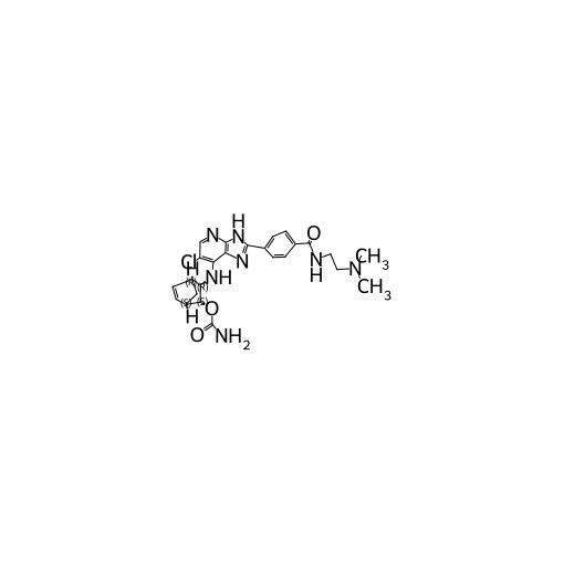 CN(C)CCNC(=O)c1ccc(-c2nc3c(N[C@H]4[C@@H](OC(N)=O)[C@@H]5C=C[C@H]4C5)c(Cl)cnc3[nH]2)cc1